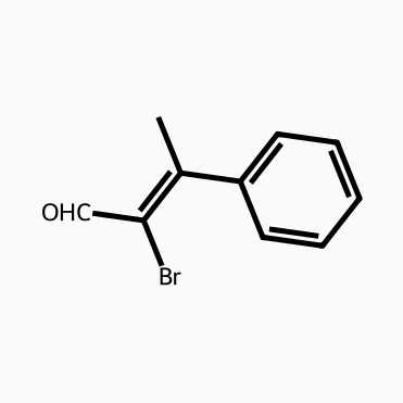 CC(=C(Br)C=O)c1ccccc1